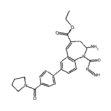 CCOC(=O)C1=Cc2cc(-c3ccc(C(=O)N4CCCC4)cc3)ccc2N(C(=O)N=N)C(N)C1